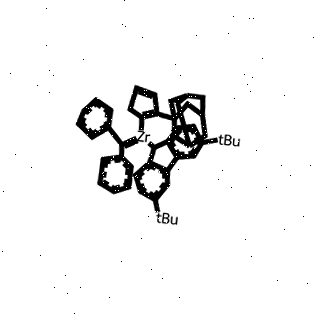 CC(C)(C)c1ccc2c(c1)-c1cc(C(C)(C)C)ccc1[CH]2[Zr]([C]1=C(C23CC4CC(CC(C4)C2)C3)C=CC1)=[C](c1ccccc1)c1ccccc1